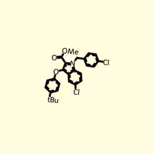 COC(=O)c1c(Oc2ccc(C(C)(C)C)cc2)c2cc(Cl)ccc2n1Cc1ccc(Cl)cc1